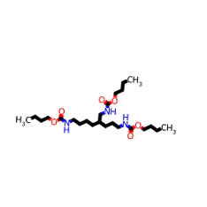 CCCCOC(=O)NCCCCC(CCCNC(=O)OCCCC)CNC(=O)OCCCC